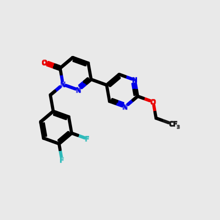 O=c1ccc(-c2cnc(OCC(F)(F)F)nc2)nn1Cc1ccc(F)c(F)c1